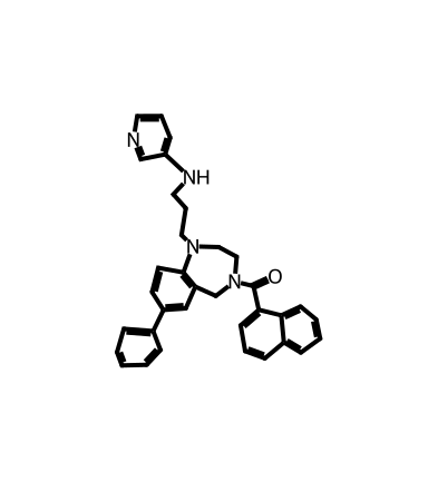 O=C(c1cccc2ccccc12)N1CCN(CCCNc2cccnc2)c2ccc(-c3ccccc3)cc2C1